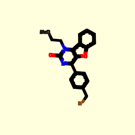 COCCn1c(=O)nc(-c2ccc(CBr)cc2)c2oc3ccccc3c21